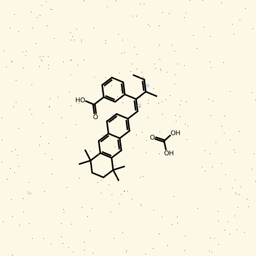 C/C=C(C)\C(=C\c1ccc2cc3c(cc2c1)C(C)(C)CCC3(C)C)c1cccc(C(=O)O)c1.O=C(O)O